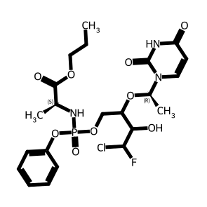 CCCOC(=O)[C@H](C)NP(=O)(OCC(O[C@H](C)n1ccc(=O)[nH]c1=O)C(O)C(F)Cl)Oc1ccccc1